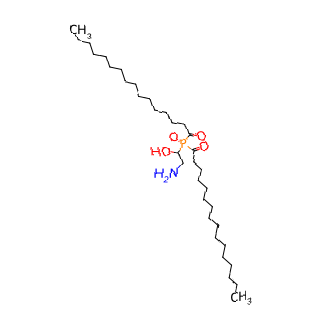 CCCCCCCCCCCCCCCC(=O)P(=O)(C(=O)CCCCCCCCCCCCCCC)C(O)CN